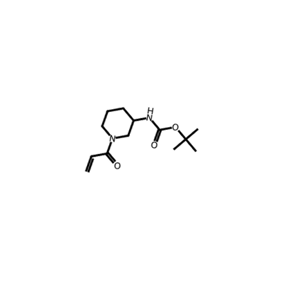 C=CC(=O)N1CCCC(NC(=O)OC(C)(C)C)C1